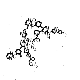 C=CC(=O)N1CCC=C(c2nc(Nc3cnn(C)c3)ncc2-c2ccc(Oc3nccc(CCn4cc(Nc5ncc(-c6ccc(Oc7ncccn7)c(F)c6)c(N6CC7(CN(C(=O)C=C)C7)C6)n5)cn4)n3)c(F)c2)C1